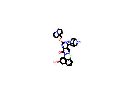 O=c1c2nc(OCC34CCCN3CCC4)nc(C3=C4CNCC(C3)NC4)c2cnn1-c1cc(O)cc2cccc(Cl)c12